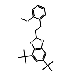 COc1ccccc1CCC1Oc2cc(C(C)(C)C)cc(C(C)(C)C)c2O1